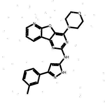 Cc1cccc(-c2cc(Nc3nc(N4CCOCC4)c4oc5ncccc5c4n3)[nH]n2)c1